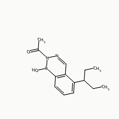 CCC(CC)c1cccc2c1C=NN(C(C)=O)B2O